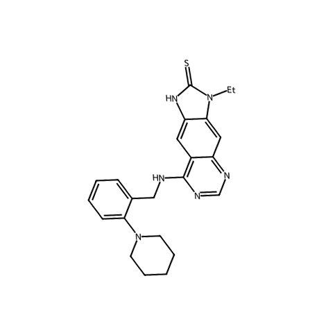 CCn1c(=S)[nH]c2cc3c(NCc4ccccc4N4CCCCC4)ncnc3cc21